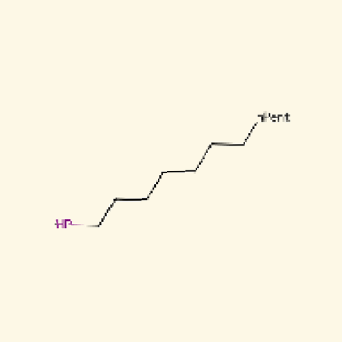 CCCCCCCCCCCC[PH]